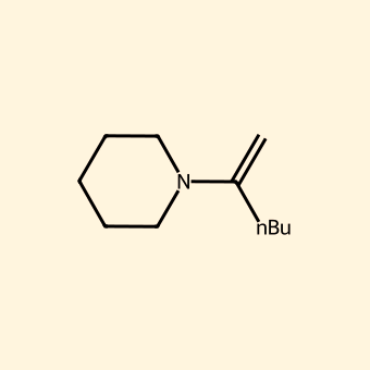 C=C(CCCC)N1CCCCC1